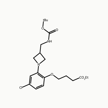 CCOC(=O)CCCOc1ccc(Cl)cc1N1CC(CNC(=O)OC(C)(C)C)C1